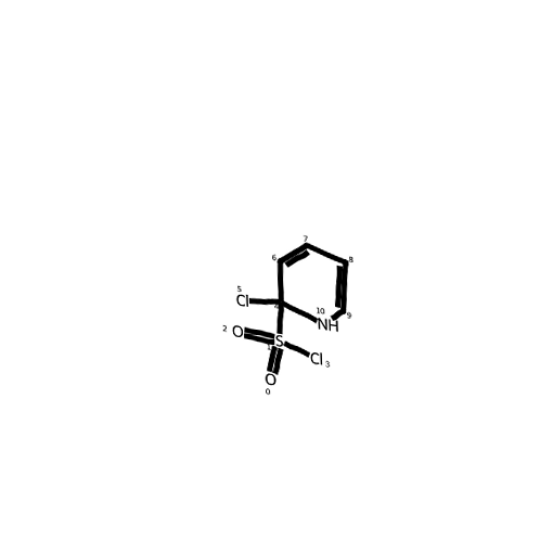 O=S(=O)(Cl)C1(Cl)C=CC=CN1